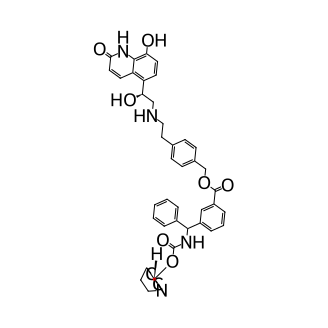 O=C(NC(c1ccccc1)c1cccc(C(=O)OCc2ccc(CCNC[C@@H](O)c3ccc(O)c4[nH]c(=O)ccc34)cc2)c1)O[C@H]1CN2CCC1CC2